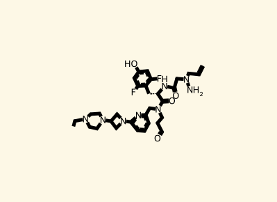 C=CCN(N)CC(=O)N[C@@H](Cc1c(F)cc(O)cc1F)C(=O)N(CCC=O)Cc1cccc(N2CC(N3CCN(CC)CC3)C2)n1